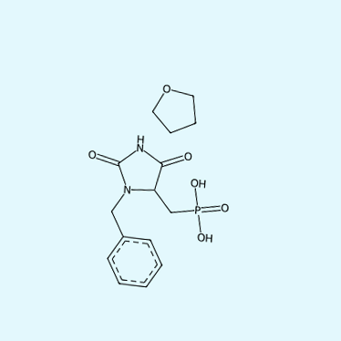 C1CCOC1.O=C1NC(=O)N(Cc2ccccc2)C1CP(=O)(O)O